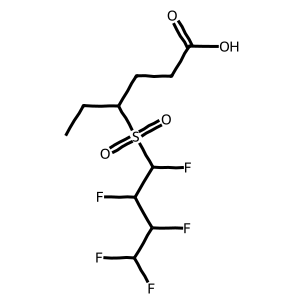 CCC(CCC(=O)O)S(=O)(=O)C(F)C(F)C(F)C(F)F